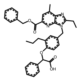 CCCc1cc(Cn2c(CC)nc3c(C)cc(C(=O)OCc4ccccc4)nc32)ccc1OC(C(=O)O)c1ccccc1